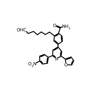 NC(=O)c1ccc(-c2cc(-c3ccc([N+](=O)[O-])cc3)nc(-c3ccco3)c2)cc1CCCCCCC=O